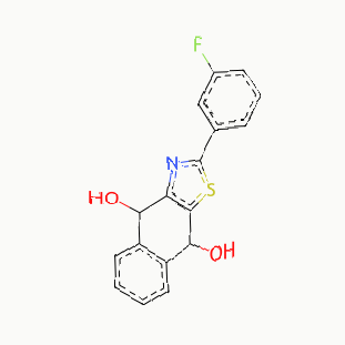 OC1c2ccccc2C(O)c2sc(-c3cccc(F)c3)nc21